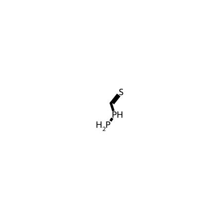 PPC=S